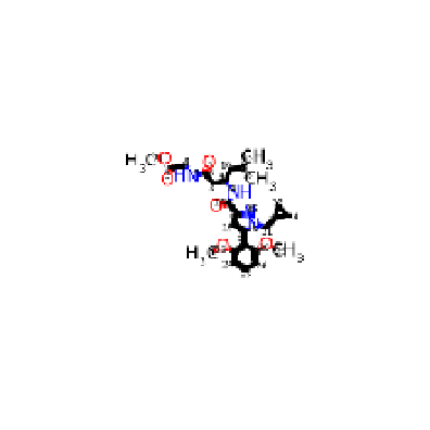 COC(=O)CNC(=O)CC(CC(C)C)NC(=O)c1cc(-c2c(OC)cccc2OC)n(CC2CC2)n1